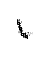 O=C(Nc1ccc(O)c(N(c2ccc(F)cc2)S(=O)(=O)O)c1)c1ccc(OCc2ccc(SC(F)(F)F)cc2)cc1